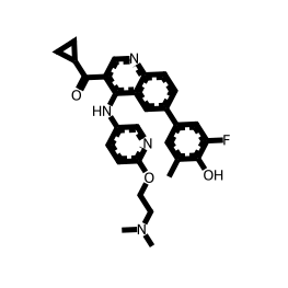 Cc1cc(-c2ccc3ncc(C(=O)C4CC4)c(Nc4ccc(OCCN(C)C)nc4)c3c2)cc(F)c1O